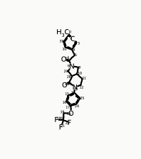 Cc1ccc(CC(=O)N2CC3CCN(c4ccc(OCC(F)(F)F)cc4)C(=O)C3C2)cc1